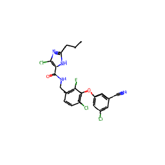 CCCc1nc(Cl)c(C(=O)NCc2ccc(Cl)c(Oc3cc(Cl)cc(C#N)c3)c2F)[nH]1